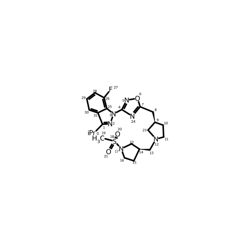 CC(C)c1nn(-c2noc(C[C@H]3CCN(C[C@H]4CCN(S(C)(=O)=O)C4)C3)n2)c2c(F)cccc12